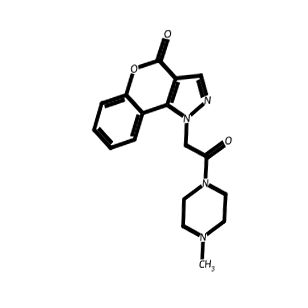 CN1CCN(C(=O)Cn2ncc3c(=O)oc4ccccc4c32)CC1